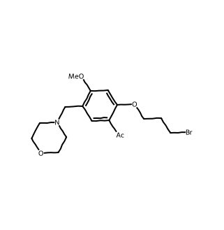 COc1cc(OCCCBr)c(C(C)=O)cc1CN1CCOCC1